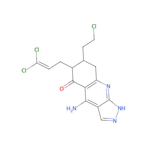 Nc1c2c(nc3[nH]ncc13)CC(CCCl)C(CC=C(Cl)Cl)C2=O